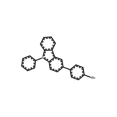 CC(C)(C)c1ccc(-c2ccc3c(c2)c2ccccc2n3-c2ccccc2)cc1